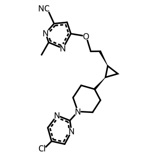 Cc1nc(C#N)cc(OCC[C@H]2C[C@H]2C2CCN(c3ncc(Cl)cn3)CC2)n1